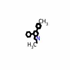 CCC1=NC2C=C(c3ccc(C)cc3)C=C(C3CCCCC3)C2=C1